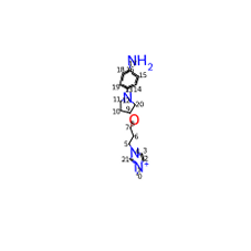 C[n+]1ccn(CCCOC2CCN(c3ccc(N)cc3)C2)c1